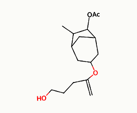 C=C(CCCO)OC1CC2CC(C1)C(OC(C)=O)C2C